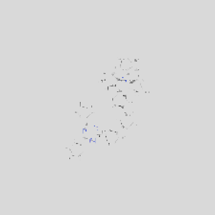 c1ccc(-c2nc(-c3ccccc3)nc(-c3cccc(-c4cccc(-c5ccc6c(c5)-c5ccccc5N(c5ccccc5)c5ccccc5-6)c4)c3)n2)cc1